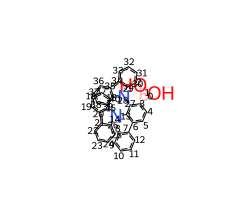 OB(O)c1ccc(-c2ccccc2)c(-n2c3ccccc3c3ccccc32)c1-n1c2ccccc2c2ccccc21